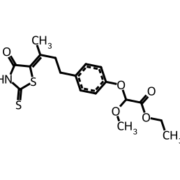 CCOC(=O)C(OC)Oc1ccc(CCC(C)=C2SC(=S)NC2=O)cc1